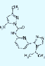 Cc1cc(N)n(C(=O)Nc2cccc(-c3nncn3C(C)C)n2)n1